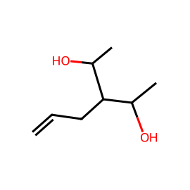 C=CCC(C(C)O)C(C)O